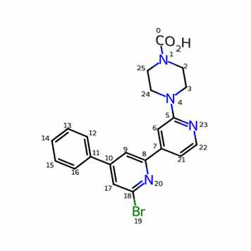 O=C(O)N1CCN(c2cc(-c3cc(-c4ccccc4)cc(Br)n3)ccn2)CC1